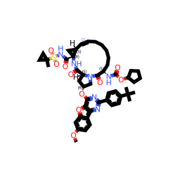 COc1ccc2c(c1)oc1c(O[C@@H]3C[C@H]4C(=O)N[C@]5(C(=O)NS(=O)(=O)C6(C)CC6)C[C@H]5/C=C\CCCCC[C@H](NC(=O)OC5CCCC5)C(=O)N4C3)nc(-c3ccc(C(C)(C)C)cc3)nc12